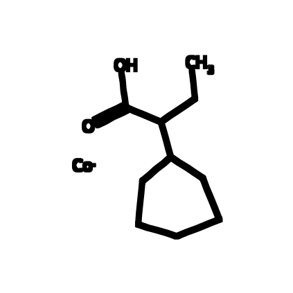 CCC(C(=O)O)C1CCCCC1.[Co]